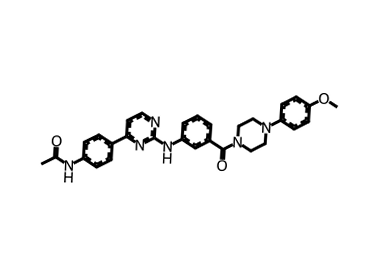 COc1ccc(N2CCN(C(=O)c3cccc(Nc4nccc(-c5ccc(NC(C)=O)cc5)n4)c3)CC2)cc1